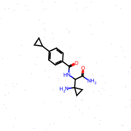 NC(=O)C(NC(=O)c1ccc(C2CC2)cc1)C1(N)CC1